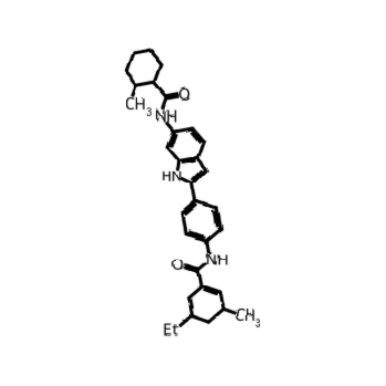 CCC1CC(C(=O)Nc2ccc(-c3cc4ccc(NC(=O)C5CCCCC5C)cc4[nH]3)cc2)=CC(C)C1